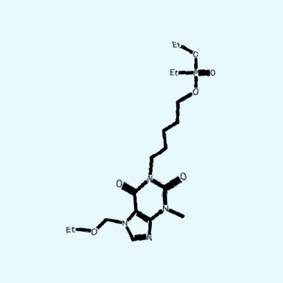 CCOCn1cnc2c1c(=O)n(CCCCCOP(=O)(CC)OCC)c(=O)n2C